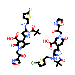 CC(C)(C)C(=O)n1nc(-c2cc(=O)n(CC(=O)c3ncco3)cc2C(=O)O)cc1NCc1ccc(Cl)s1.Cc1cn(CC(=O)c2cocn2)c(=O)c(C(=O)O)c1-c1cc(NCc2ccc(Cl)s2)n(C(=O)C(C)(C)C)n1